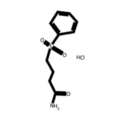 Cl.NC(=O)CCCS(=O)(=O)c1ccccc1